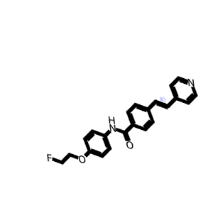 O=C(Nc1ccc(OCCF)cc1)c1ccc(/C=C/c2ccncc2)cc1